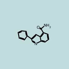 NC(=O)c1cccc2ncc(-c3ccccc3)cc12